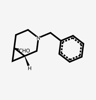 O=C[C@@]12CCN(Cc3ccccc3)C[C@@H]1C2